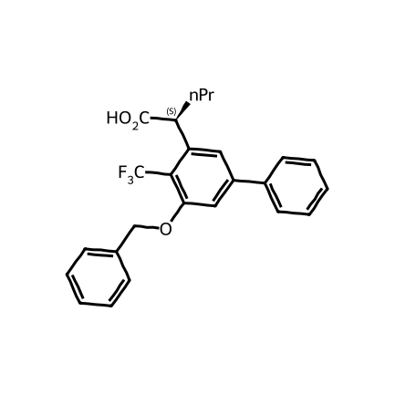 CCC[C@H](C(=O)O)c1cc(-c2ccccc2)cc(OCc2ccccc2)c1C(F)(F)F